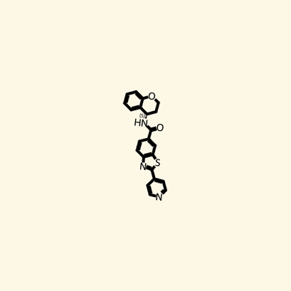 O=C(N[C@H]1CCOc2ccccc21)c1ccc2nc(-c3ccncc3)sc2c1